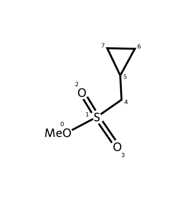 COS(=O)(=O)CC1CC1